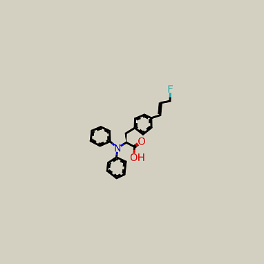 O=C(O)[C@H](Cc1ccc(C=CCF)cc1)N(c1ccccc1)c1ccccc1